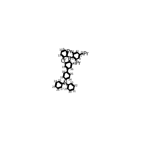 CC(C)c1cc(C(C)C)c(B2c3ccccc3Oc3cc(-c4ccc(N(c5ccccc5)c5ccccc5)cc4)ccc32)c(C(C)C)c1